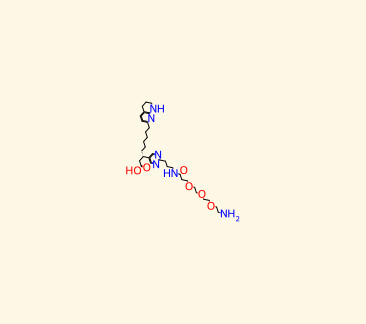 NCCOCCOCCOCCC(=O)NCCCc1ncc([C@@H](CCCCCCc2ccc3c(n2)NCCC3)CC(=O)O)cn1